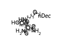 CCCCCCCCCCCC1OC1CCCCC(=O)Nc1cc(O)ccc1Oc1cc(C(N)=O)cc(C(N)=O)c1